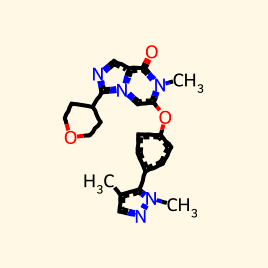 Cc1cnn(C)c1-c1ccc(Oc2cn3c(C4CCOCC4)ncc3c(=O)n2C)cc1